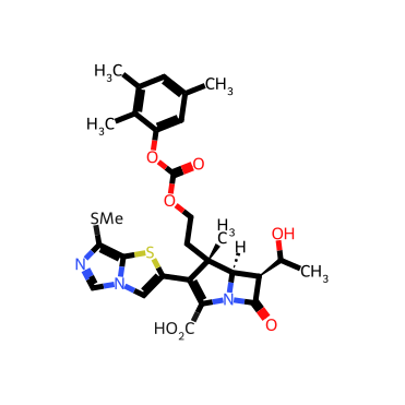 CSc1ncn2cc(C3=C(C(=O)O)N4C(=O)[C@H](C(C)O)[C@@H]4[C@@]3(C)CCOC(=O)Oc3cc(C)cc(C)c3C)sc12